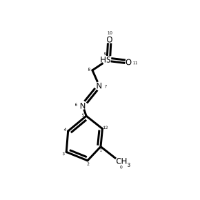 Cc1cccc(N=NC[SH](=O)=O)c1